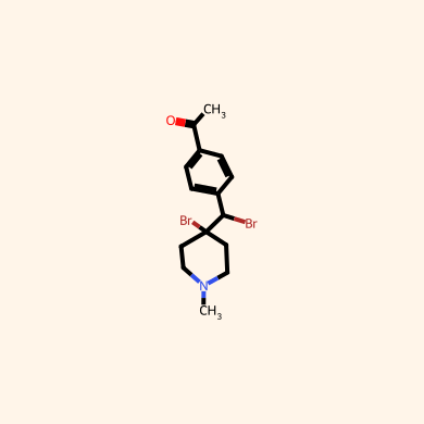 CC(=O)c1ccc(C(Br)C2(Br)CCN(C)CC2)cc1